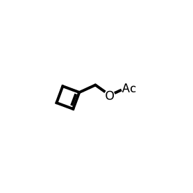 CC(=O)OCC1=CCC1